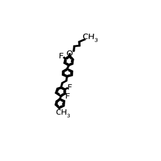 CCCCCCOc1ccc(-c2ccc(CCc3ccc(-c4ccc(C)cc4)c(F)c3F)cc2)cc1F